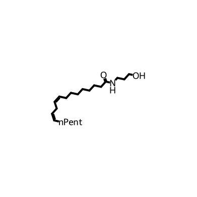 CCCCC/C=C\C/C=C\CCCCCCCC(=O)NCCCO